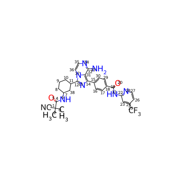 CC(C)(C#N)C(=O)NC1CCCC(c2nc(-c3ccc(C(=O)Nc4cc(C(F)(F)F)ccn4)cc3)c3c(N)nccn23)C1